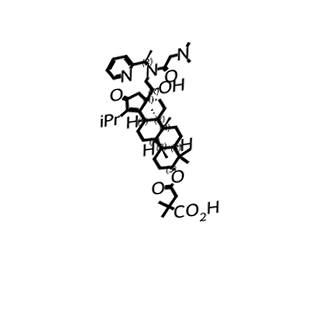 CC(C)C1=C2[C@H]3CC[C@@H]4[C@@]5(C)CC[C@H](OC(=O)CC(C)(C)C(=O)O)C(C)(C)[C@@H]5CC[C@@]4(C)[C@]3(C)CC[C@@]2([C@@H](O)CN(C(=O)CN(C)C)[C@H](C)c2ccccn2)CC1=O